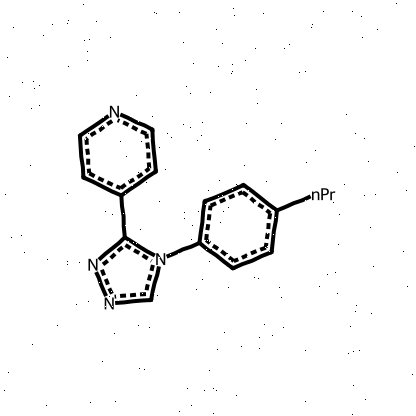 CCCc1ccc(-n2cnnc2-c2ccncc2)cc1